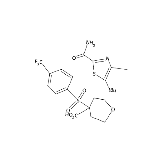 Cc1nc(C(N)=O)sc1C(C)(C)C.O=C(O)C1(S(=O)(=O)c2ccc(C(F)(F)F)cc2)CCOCC1